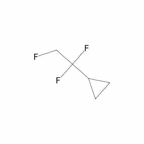 FCC(F)(F)C1CC1